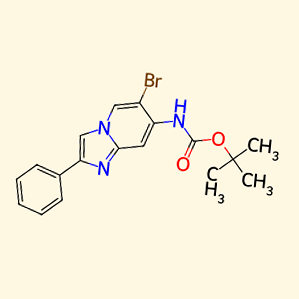 CC(C)(C)OC(=O)Nc1cc2nc(-c3ccccc3)cn2cc1Br